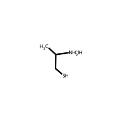 CC(N)CS.Cl